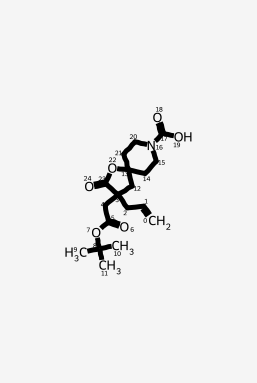 C=CCC1(CC(=O)OC(C)(C)C)CC2(CCN(C(=O)O)CC2)OC1=O